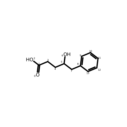 O=C(O)CCC(O)Cc1ccccc1